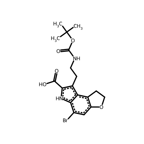 CC(C)(C)OC(=O)NCCc1c(C(=O)O)[nH]c2c(Br)cc3c(c12)CCO3